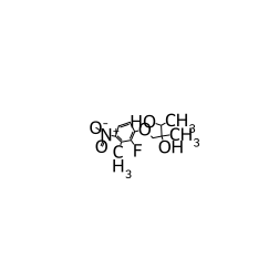 Cc1c([N+](=O)[O-])ccc(OCC(C)(O)C(C)O)c1F